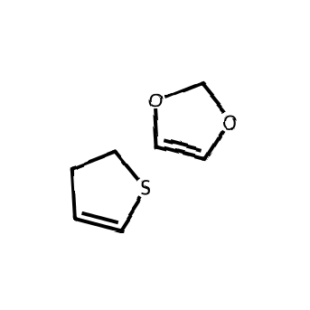 C1=COCO1.C1=CSCC1